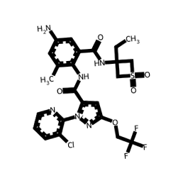 CCC1(NC(=O)c2cc(N)cc(C)c2NC(=O)c2cc(OCC(F)(F)F)nn2-c2ncccc2Cl)CS(=O)(=O)C1